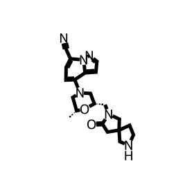 C[C@@H]1CN(c2ccc(C#N)n3nccc23)C[C@H](CN2CC3(CCNC3)CC2=O)O1